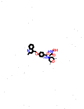 Cc1cc(COc2ccc(C(=O)N[C@@]3(CC(=O)NO)C[C@@H](C)O[C@@H](C)C3)cc2)c2ccccc2n1